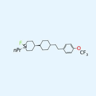 CCC[Si@]1(F)CC[C@@H](C2CCC(CCc3ccc(OC(F)(F)F)cc3)CC2)CC1